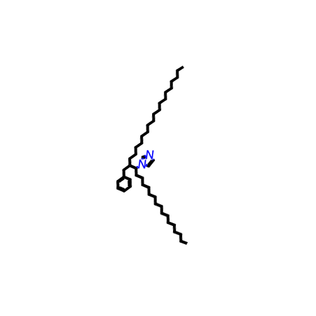 CCCCCCCCCCCCCCCCCCC(Cc1ccccc1)C(CCCCCCCCCCCCCCCC)n1ccnc1